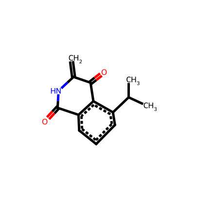 C=C1NC(=O)c2cccc(C(C)C)c2C1=O